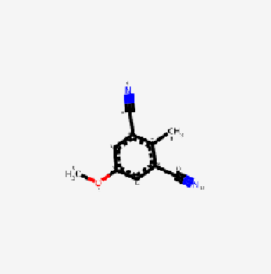 COc1cc(C#N)c(C)c(C#N)c1